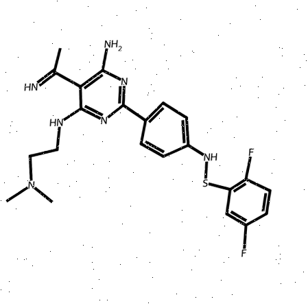 CC(=N)c1c(N)nc(-c2ccc(NSc3cc(F)ccc3F)cc2)nc1NCCN(C)C